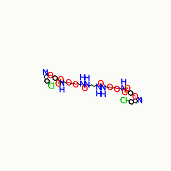 CN(C)[C@H]1Cc2ccc(Cl)cc2[C@@H]1Oc1ccc(S(=O)(=O)NCCOCCOCCNC(=O)NCCCCNC(=O)NCCOCCOCCNS(=O)(=O)c2ccc(O[C@H]3c4cc(Cl)ccc4C[C@@H]3N(C)C)cc2)cc1